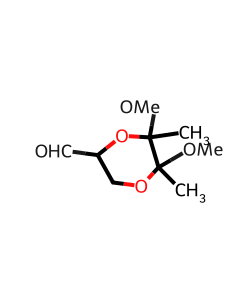 COC1(C)OCC(C=O)OC1(C)OC